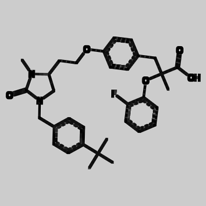 CN1C(=O)N(Cc2ccc(C(C)(C)C)cc2)CC1CCOc1ccc(CC(C)(Oc2ccccc2F)C(=O)O)cc1